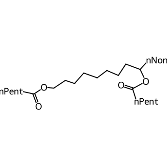 CCCCCCCCCC(CCCCCCCCOC(=O)CCCCC)OC(=O)CCCCC